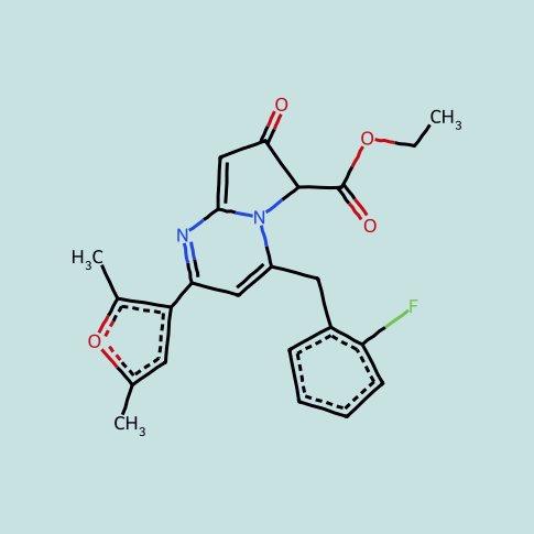 CCOC(=O)C1C(=O)C=C2N=C(c3cc(C)oc3C)C=C(Cc3ccccc3F)N21